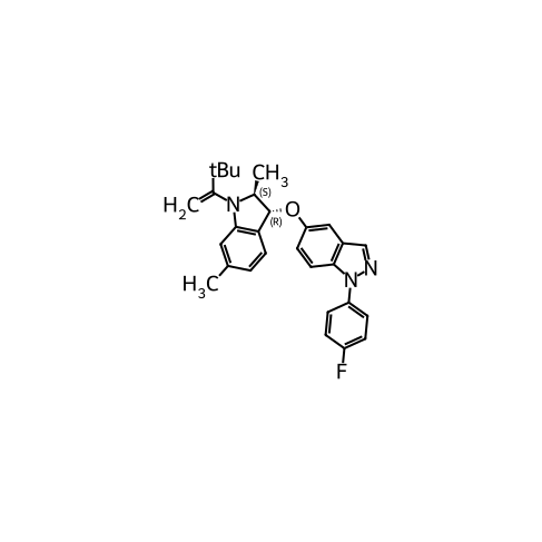 C=C(N1c2cc(C)ccc2[C@@H](Oc2ccc3c(cnn3-c3ccc(F)cc3)c2)[C@@H]1C)C(C)(C)C